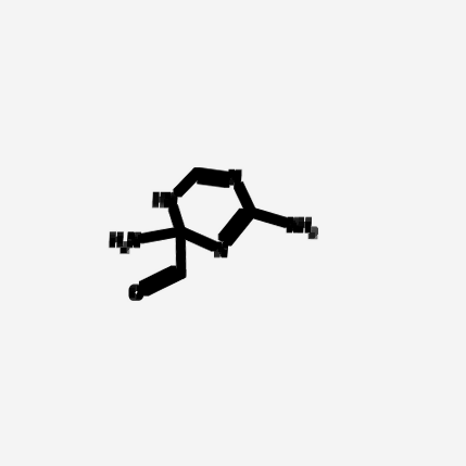 NC1=NC(N)(C=O)NC=N1